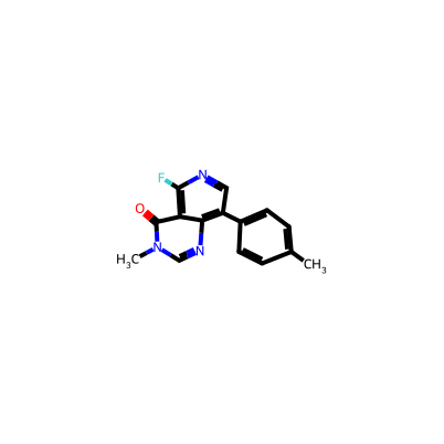 Cc1ccc(-c2cnc(F)c3c(=O)n(C)cnc23)cc1